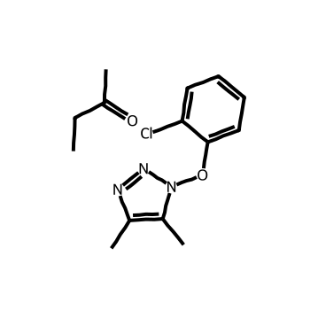 CCC(C)=O.Cc1nnn(Oc2ccccc2Cl)c1C